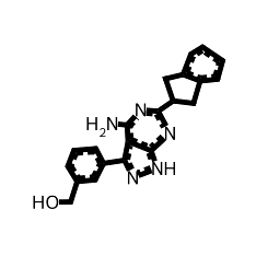 Nc1nc(C2Cc3ccccc3C2)nc2[nH]nc(-c3cccc(CO)c3)c12